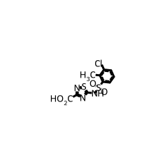 Cc1c(Cl)cccc1S(=O)(=O)Nc1nc(C(=O)O)ns1